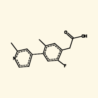 Cc1cc(-c2cc(F)c(CC(=O)O)cc2C)ccn1